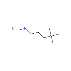 C[N-]CCC[Si](C)(C)C.[Li+]